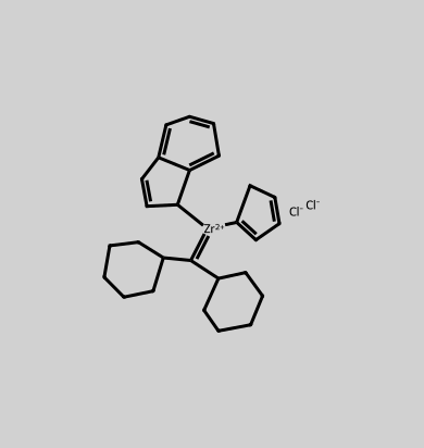 C1=CC[C]([Zr+2](=[C](C2CCCCC2)C2CCCCC2)[CH]2C=Cc3ccccc32)=C1.[Cl-].[Cl-]